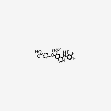 O=C(O)N1CCC(COc2cc3ncnc(Nc4ccc(F)c(F)c4F)c3cc2[N+](=O)[O-])CC1